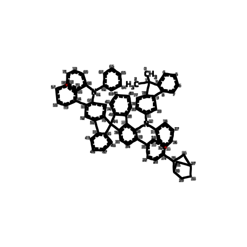 CC1(C)c2ccccc2-c2cc(N(c3ccccc3)c3c(-c4ccc(C5CC6CCC5C6)cc4)ccc4c3-c3ccccc3C43c4ccccc4-c4cc(-c5ccccc5)c(N(c5ccccc5)c5ccccc5)cc43)ccc21